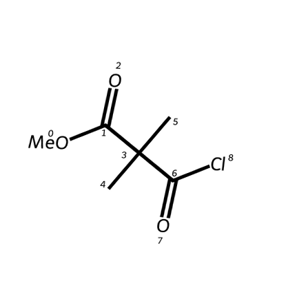 COC(=O)C(C)(C)C(=O)Cl